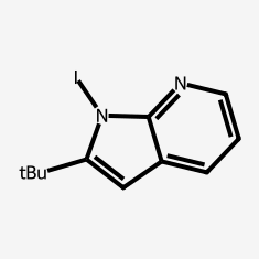 CC(C)(C)c1cc2cccnc2n1I